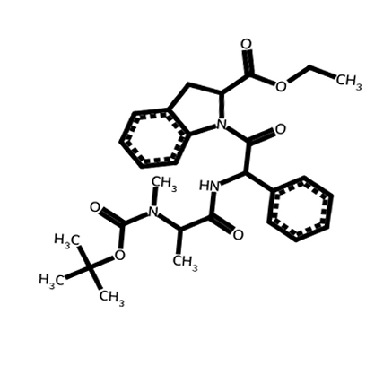 CCOC(=O)C1Cc2ccccc2N1C(=O)C(NC(=O)C(C)N(C)C(=O)OC(C)(C)C)c1ccccc1